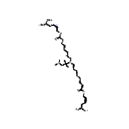 CCCCC(C/C=C\COC(=O)CCCCCCCN(CCCCCCCC(=O)OC/C=C\CC(CCCC)CCCC)C(C)(C)CN(C)C)CCCC